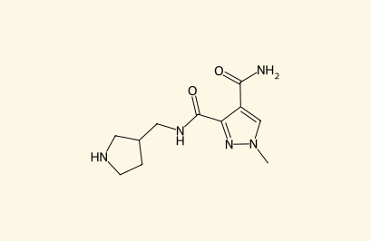 Cn1cc(C(N)=O)c(C(=O)NCC2CCNC2)n1